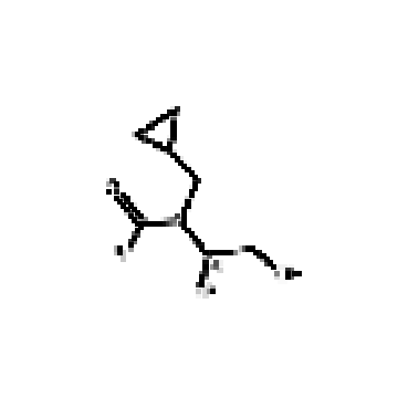 CCC[C@H](CO)N(CC1CC1)C(=O)C(C)C